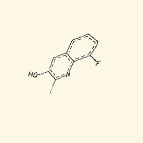 Cc1nc2c(F)cccc2cc1O